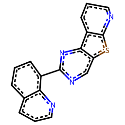 c1cnc2c(-c3ncc4sc5ncccc5c4n3)cccc2c1